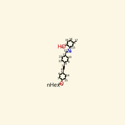 CCCCCCOc1ccc(C#Cc2ccc(C=Nc3cc(C)ccc3O)cc2)cc1